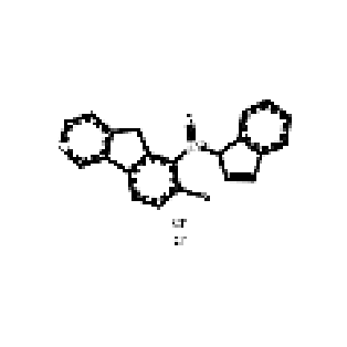 [Cl-].[Cl-].[S]=[Zr+2]([c]1c(Br)ccc2c1Cc1ccncc1-2)[CH]1C=Cc2ccccc21